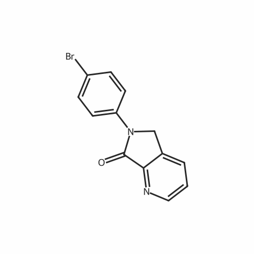 O=C1c2ncccc2CN1c1ccc(Br)cc1